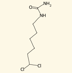 NC(=O)NCCCCCC(Cl)Cl